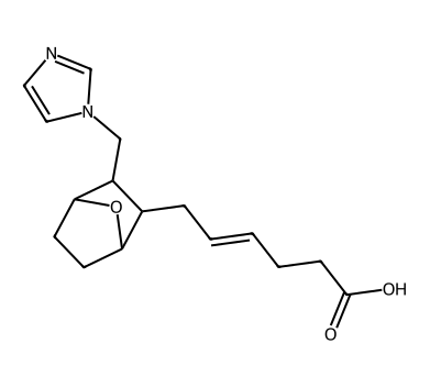 O=C(O)CCC=CCC1C2CCC(O2)C1Cn1ccnc1